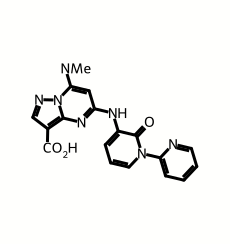 CNc1cc(Nc2cccn(-c3ccccn3)c2=O)nc2c(C(=O)O)cnn12